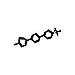 Cc1ccc(-c2ccc(-c3ccc([Si](C)(C)C)cc3)cc2)cc1